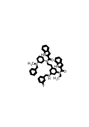 CCN(C(=O)c1cc2ccccc2[nH]1)C1CC(CCN(C(=O)c2cc3ccccc3[nH]2)[C@H]2CCC[C@@H](N(C)Cc3ccccc3)C2)CC(NCc2cccc(F)c2)C1